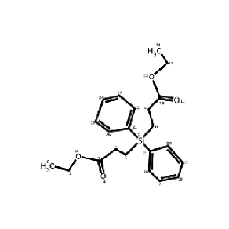 CCOC(=O)CC[Si](CCC(=O)OCC)(c1ccccc1)c1ccccc1